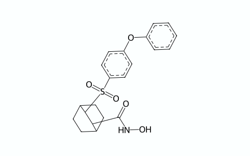 O=C(NO)C1C2CCC(CC2)C1S(=O)(=O)c1ccc(Oc2ccccc2)cc1